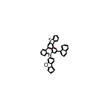 c1cc(-c2cccc3ccccc23)cc(N(c2ccc3c(c2)oc2ccccc23)c2ccccc2-c2ccc3c(c2)sc2ccccc23)c1